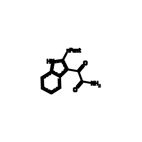 CCCCCc1[nH]c2ccccc2c1C(=O)C(N)=O